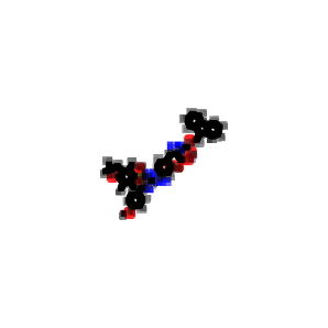 COc1ccc(C/N=C(/Nc2ccc(CC(NC(=O)OCC3c4ccccc4-c4ccccc43)C(=O)O)cc2)NS(=O)(=O)c2c(C)c(C)c3c(c2C)CC(C)(C)O3)cc1